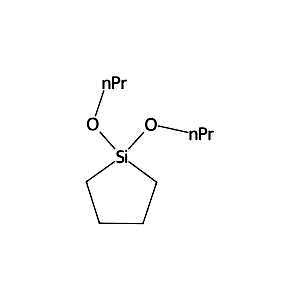 CCCO[Si]1(OCCC)CCCC1